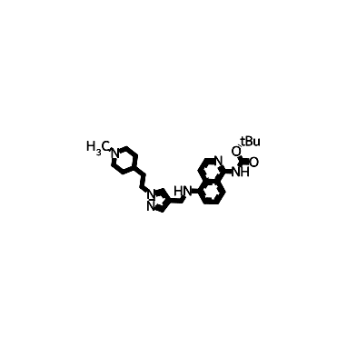 CN1CCC(CCn2cc(CNc3cccc4c(NC(=O)OC(C)(C)C)nccc34)cn2)CC1